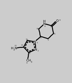 Cc1nn(C2CCC(=O)NC2)cc1N